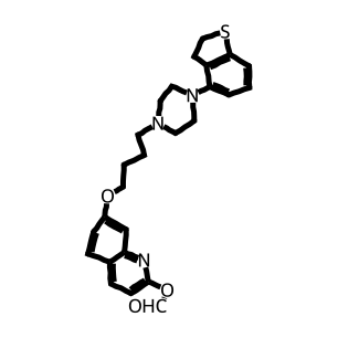 O=COc1ccc2ccc(OCCCCN3CCN(c4cccc5c4CCS5)CC3)cc2n1